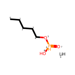 CCCCCO[PH](=O)O.[LiH]